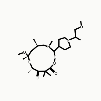 COCC(C)N1CCC(C2COC(=O)C(C)(C)C(=O)[C@H](C)C[C@](C)(OC)C[C@@H](C)CN2C)CC1